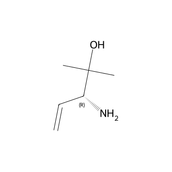 C=C[C@@H](N)C(C)(C)O